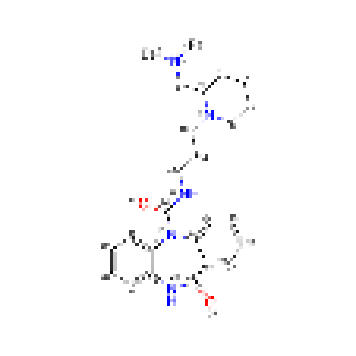 CCN(CC)CC1CCCCN1CCCNC(=O)N1c2ccccc2NC(=O)c2ccccc21